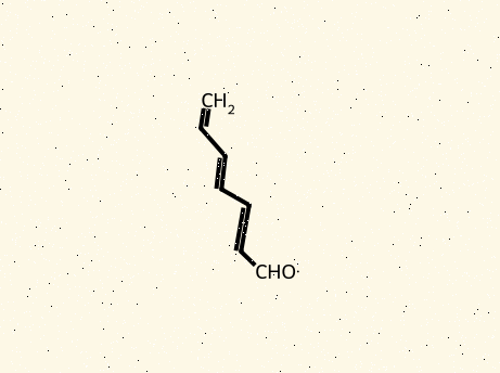 C=C/C=C/C=C/[C]=O